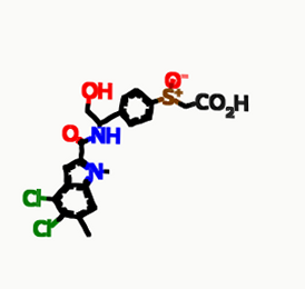 Cc1cc2c(cc(C(=O)NC(CO)c3ccc([S@@+]([O-])CC(=O)O)cc3)n2C)c(Cl)c1Cl